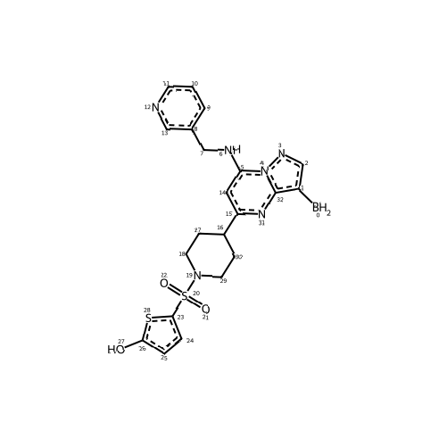 Bc1cnn2c(NCc3cccnc3)cc(C3CCN(S(=O)(=O)c4ccc(O)s4)CC3)nc12